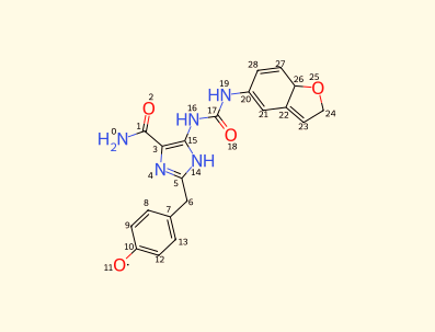 NC(=O)c1nc(Cc2ccc([O])cc2)[nH]c1NC(=O)NC1=CC2=CCOC2C=C1